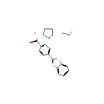 CN(C(=O)c1ccc(-c2nc3ccccc3o2)cc1)[C@@H]1CC[C@H](NCCO)C1